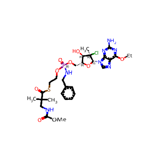 CCOc1nc(N)nc2c1ncn2[C@@H]1O[C@H](CO[P@](=O)(NCc2ccccc2)OCCSC(=O)C(C)(C)CNC(=O)OC)[C@@H](O)[C@@]1(C)Cl